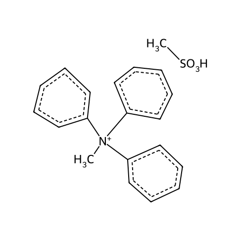 CS(=O)(=O)O.C[N+](c1ccccc1)(c1ccccc1)c1ccccc1